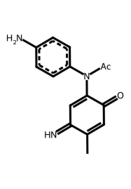 CC(=O)N(C1=CC(=N)C(C)=CC1=O)c1ccc(N)cc1